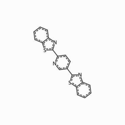 c1ccc2sc(-c3ccc(-c4nc5ccccc5s4)nc3)nc2c1